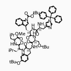 COC(=O)[C@H](CC(C)C)NC(=O)[C@@H](CC(C)C)NC(=O)[C@H](Cc1ccc(OC(C)(C)C)cc1)NC(=O)[C@H](COC(C)(C)C)NC(=O)[C@H](Cc1cn(C(=O)OC(C)(C)C)c2ccccc12)NC(=O)[C@@H](N)Cc1cn(C(c2ccccc2)(c2ccccc2)c2ccccc2)cn1